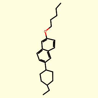 CCCCCOc1ccc2cc(C3CCC(CC)CC3)ccc2c1